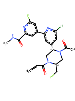 C=CC(=O)N1C[C@H](c2cc(Cl)nc(-c3cc(F)nc(C(=O)NC)c3)c2)N(C(C)=O)C[C@H]1CF